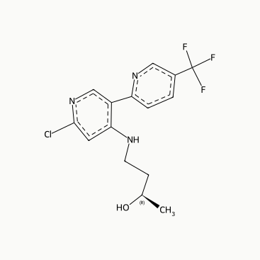 C[C@@H](O)CCNc1cc(Cl)ncc1-c1ccc(C(F)(F)F)cn1